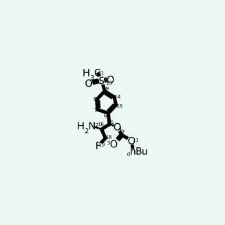 CCCCOC(=O)O[C@H](c1ccc(S(C)(=O)=O)cc1)[C@H](N)CF